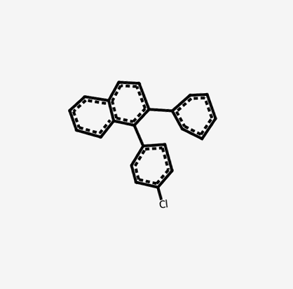 Clc1ccc(-c2c(-c3ccccc3)ccc3ccccc23)cc1